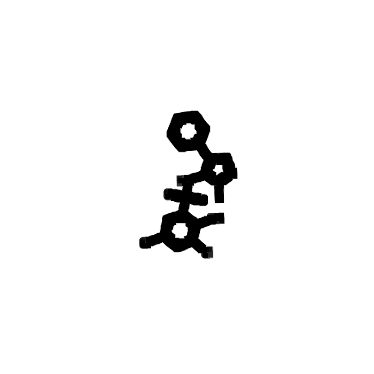 Cn1ncc(-c2ccccc2)c1NS(=O)(=O)c1cc(Cl)cc(Cl)c1O